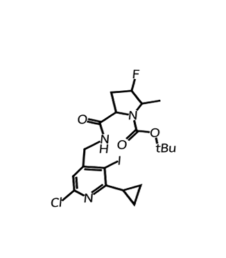 CC1C(F)CC(C(=O)NCc2cc(Cl)nc(C3CC3)c2I)N1C(=O)OC(C)(C)C